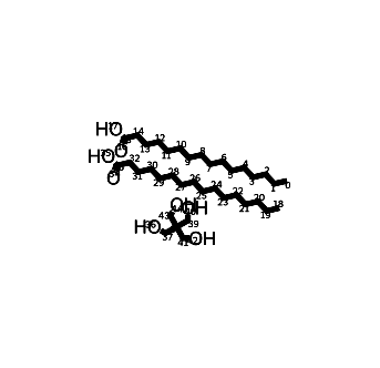 CCCCCCCCCCCCCCCC(=O)O.CCCCCCCCCCCCCCCC(=O)O.OCC(CO)(CO)CO